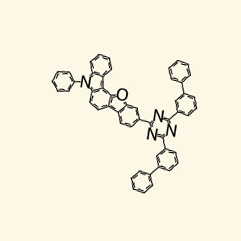 c1ccc(-c2cccc(-c3nc(-c4cccc(-c5ccccc5)c4)nc(-c4ccc5c(c4)oc4c5ccc5c4c4ccccc4n5-c4ccccc4)n3)c2)cc1